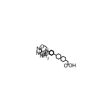 Nc1ncnc2c1S(=O)(=O)N(c1ccc(C3CCC4(CCC(CC(=O)O)CC4)CC3)cc1)CCO2